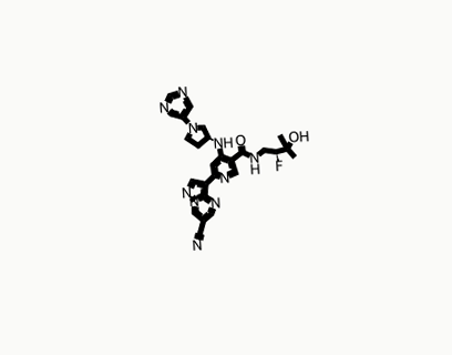 CC(C)(O)[C@H](F)CNC(=O)c1cnc(-c2cnn3cc(C#N)cnc23)cc1N[C@@H]1CCN(c2cncnc2)C1